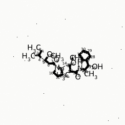 CC[C@H](C)C[C@@H](CC(=O)N1CCC[C@H]1C[C@H](OC)[C@@H](C)C(=O)N[C@H](C)[C@@H](O)c1ccccc1)OC